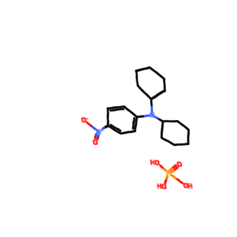 O=P(O)(O)O.O=[N+]([O-])c1ccc(N(C2CCCCC2)C2CCCCC2)cc1